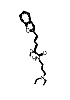 CCN(CC)CCCNC(=O)C(=CC=Cc1cc2ccccc2o1)OC